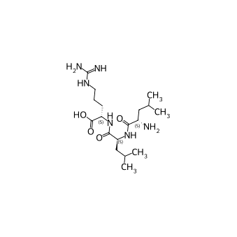 CC(C)C[C@H](NC(=O)[C@@H](N)CC(C)C)C(=O)N[C@@H](CCCNC(=N)N)C(=O)O